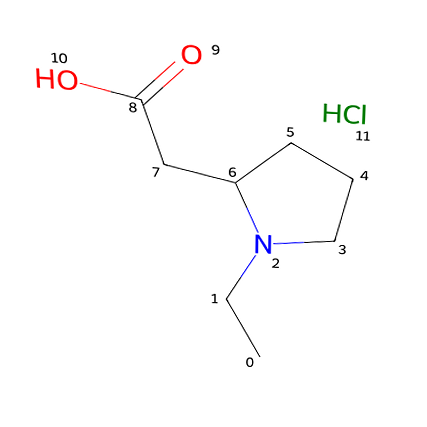 CCN1CCCC1CC(=O)O.Cl